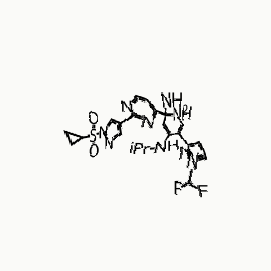 CC(C)NC1=CC(N)(c2ccnc(-c3cnn(S(=O)(=O)C4CC4)c3)n2)NC=C1c1ccn(C(F)F)n1